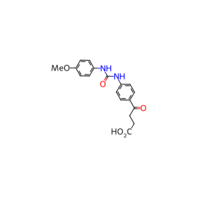 COc1ccc(NC(=O)Nc2ccc(C(=O)CCC(=O)O)cc2)cc1